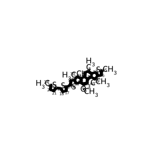 COc1cc2c3c(c(C)cc2c2c1-c1sc(-c4ccc(-c5ccc(C)s5)s4)cc1C2(C)C)-c1sc(C)cc1C3(C)C